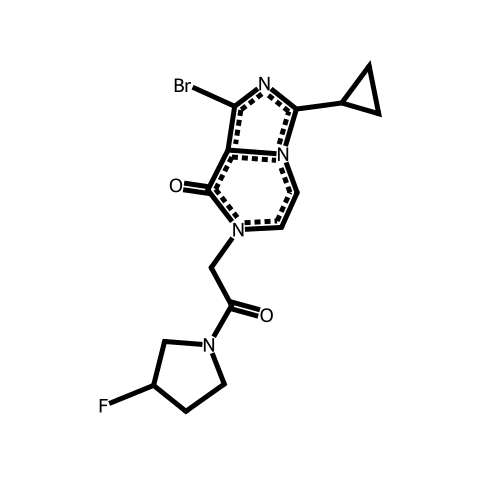 O=C(Cn1ccn2c(C3CC3)nc(Br)c2c1=O)N1CCC(F)C1